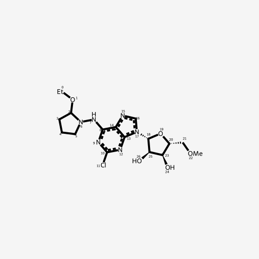 CCOC1CCCN1Nc1nc(Cl)nc2c1ncn2[C@@H]1O[C@H](COC)[C@@H](O)[C@H]1O